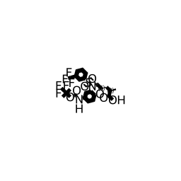 C[C@H](C[C@H]1CN(S(=O)(=O)c2cccc(C(F)(F)F)c2)c2cc(NC(=O)OC(C)(C)C(F)(F)F)ccc2O1)C(=O)O